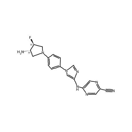 N#Cc1cnc(Nc2cn(-c3ccc(N4C[C@H](N)[C@@H](F)C4)cc3)cn2)cn1